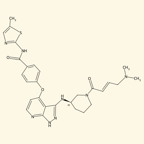 Cc1cnc(NC(=O)c2ccc(Oc3ccnc4[nH]nc(N[C@@H]5CCCN(C(=O)C=CCN(C)C)C5)c34)cc2)s1